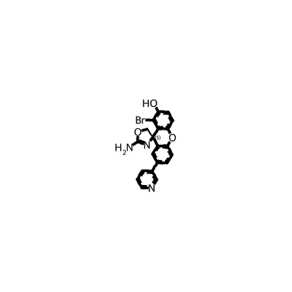 NC1=N[C@@]2(CO1)c1cc(-c3cccnc3)ccc1Oc1ccc(O)c(Br)c12